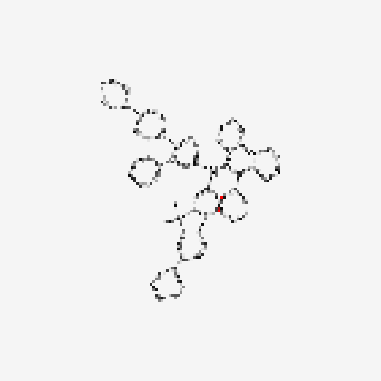 CC1(C)c2cc(-c3ccccc3)ccc2-c2ccc(N(c3ccc(-c4ccc(-c5ccccc5)cc4)c(-c4ccccc4)c3)c3c(-c4ccccc4)c4ccccc4c4ccccc34)cc21